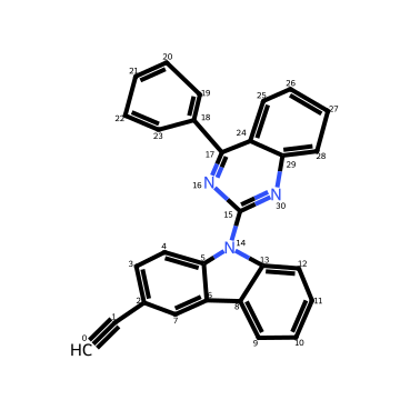 C#Cc1ccc2c(c1)c1ccccc1n2-c1nc(-c2ccccc2)c2ccccc2n1